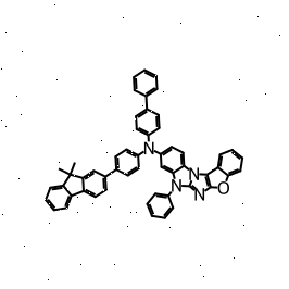 CC1(C)c2ccccc2-c2ccc(-c3ccc(N(c4ccc(-c5ccccc5)cc4)c4ccc5c(c4)n(-c4ccccc4)c4nc6oc7ccccc7c6n54)cc3)cc21